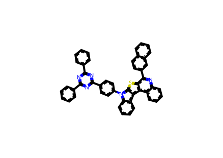 c1ccc(-c2nc(-c3ccccc3)nc(-c3ccc(-n4c5ccccc5c5c6c(sc54)c(-c4ccc5ccccc5c4)nc4ccccc46)cc3)n2)cc1